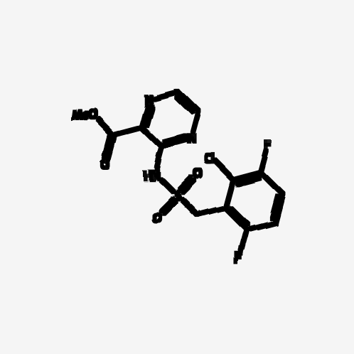 COC(=O)c1nccnc1NS(=O)(=O)Cc1c(F)ccc(F)c1Cl